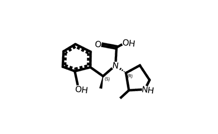 CC1NCC[C@H]1N(C(=O)O)[C@@H](C)c1ccccc1O